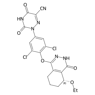 CCO[C@@H]1CCCc2c(Oc3c(Cl)cc(-n4nc(C#N)c(=O)[nH]c4=O)cc3Cl)n[nH]c(=O)c21